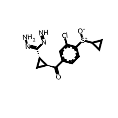 N=N/C(=N\N)[C@H]1C[C@@H]1C(=O)c1ccc([S+]([O-])C2CC2)c(Cl)c1